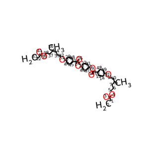 C=CC(=O)OCCCC(C)CCOc1ccc(C(=O)Oc2ccc(OC(=O)c3ccc(OCCCC(C)CCOC(=O)C=C)cc3)cc2)cc1